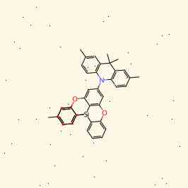 Cc1ccc([Si]23c4ccccc4Oc4cc(N5c6ccc(C)cc6C(C)(C)c6cc(C)ccc65)cc(c42)Oc2ccccc23)cc1